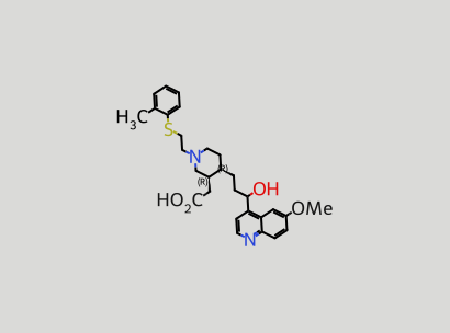 COc1ccc2nccc(C(O)CC[C@@H]3CCN(CCSc4ccccc4C)C[C@@H]3CC(=O)O)c2c1